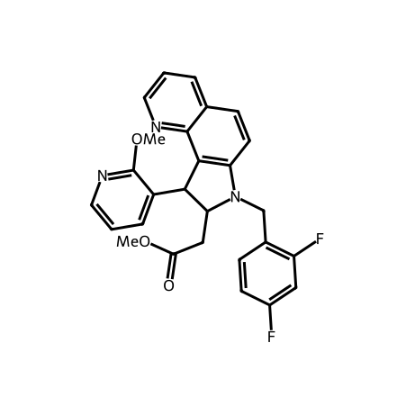 COC(=O)CC1C(c2cccnc2OC)c2c(ccc3cccnc23)N1Cc1ccc(F)cc1F